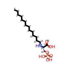 CCCCCCCCCCCCCCN[C@@H](COP(=O)(O)O)C(=O)O